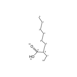 CCCCCCC(CC)C(=O)O